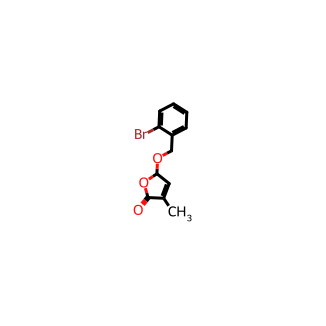 CC1=CC(OCc2ccccc2Br)OC1=O